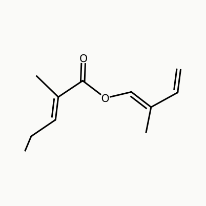 C=CC(C)=COC(=O)C(C)=CCC